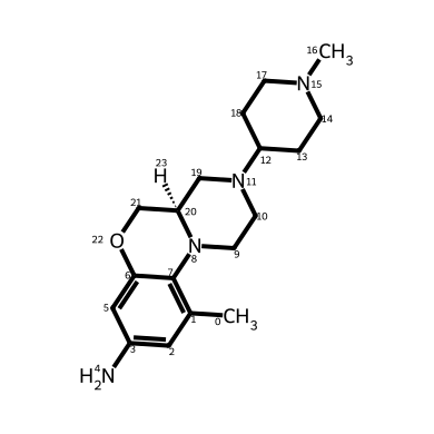 Cc1cc(N)cc2c1N1CCN(C3CCN(C)CC3)C[C@@H]1CO2